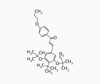 CCCOc1ccc(C(=O)C=Cc2cc(OC(C)(C)C)c(C(C)(C)C)c(OC(C)(C)C)c2)cc1